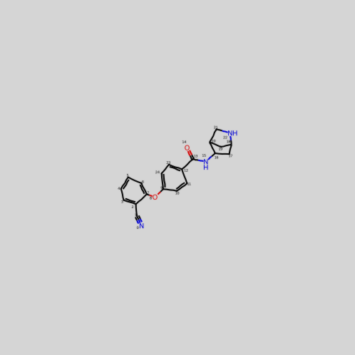 N#Cc1ccccc1Oc1ccc(C(=O)NC2CC3CC2CN3)cc1